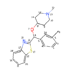 Cc1cccc(C(OC2CCN(C)CC2)c2nc3ccccc3s2)c1